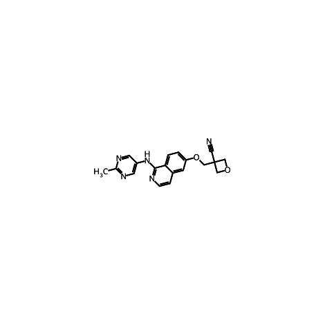 Cc1ncc(Nc2nccc3cc(OCC4(C#N)COC4)ccc23)cn1